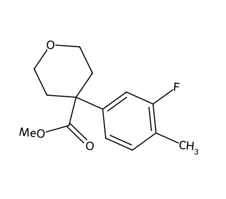 COC(=O)C1(c2ccc(C)c(F)c2)CCOCC1